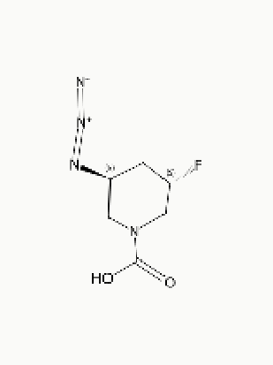 [N-]=[N+]=N[C@H]1C[C@H](F)CN(C(=O)O)C1